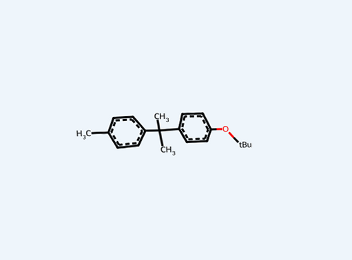 Cc1ccc(C(C)(C)c2ccc(OC(C)(C)C)cc2)cc1